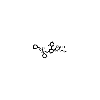 CSCC[C@H](NC(=O)c1ccc(CC[N+](C)(C(=O)OCc2ccccc2)C2CCCCC2)cc1-c1ccccc1C)C(=O)O